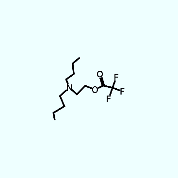 CCCCN(CCCC)CCOC(=O)C(F)(F)F